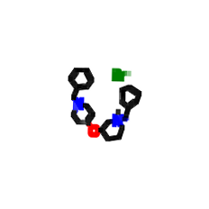 C[N+]1(Cc2ccccc2)CCCC(OC2=CCN(Cc3ccccc3)CC2)C1.[Br-]